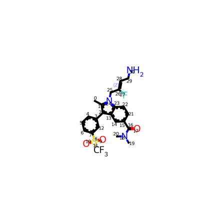 Cc1c(-c2cccc(S(=O)(=O)C(F)(F)F)c2)c2cc(C(=O)N(C)C)ccc2n1C/C(F)=C/CN